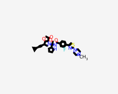 CN1CCN(c2nc(-c3ccc(C(=O)NC(C=O)(C4CCCC4)N4CC(C#CC5CC5)C5OCC(=O)C54)cc3F)cs2)CC1